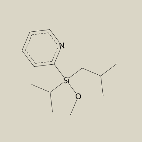 CO[Si](CC(C)C)(c1ccccn1)C(C)C